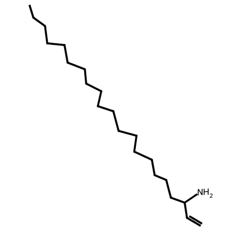 C=CC(N)CCCCCCCCCCCCCCCCCC